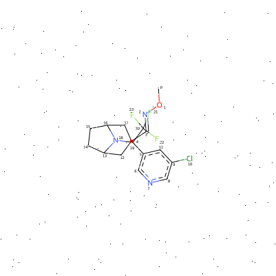 CON=CC1(c2cncc(Cl)c2)CC2CCC(C1)N2CC(F)(F)F